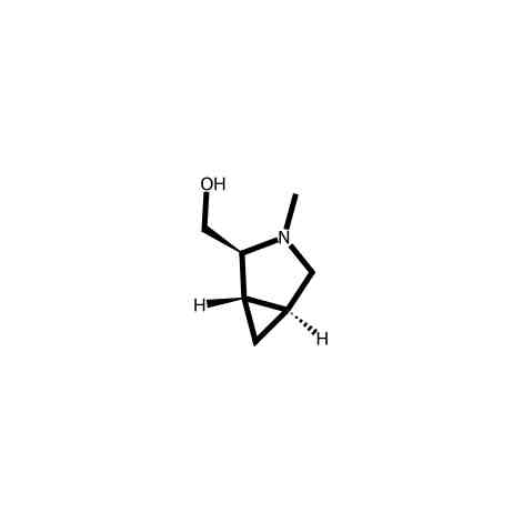 CN1C[C@H]2C[C@@H]2[C@H]1CO